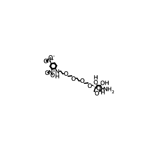 N[C@H]1[C@H]2OC[C@](COCCOCCOCCOCCNc3ccc([N+](=O)[O-])cc3[N+](=O)[O-])(O2)[C@H](O)[C@@H]1O